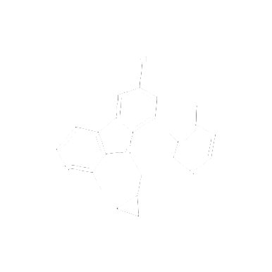 Cc1nccc2c3cc(Cl)cc(C4=C(Cl)C=CNC4)c3n(CC3CC3)c12